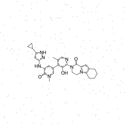 Cc1cnc(N2CCn3c(cc4c3CCCC4)C2=O)c(O)c1-c1cc(Nc2cc(C3CC3)[nH]n2)c(=O)n(C)c1